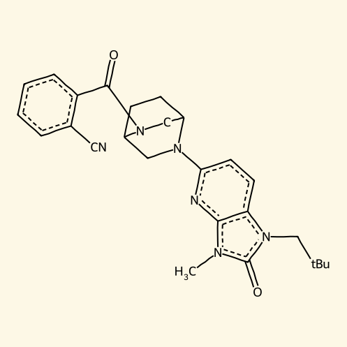 Cn1c(=O)n(CC(C)(C)C)c2ccc(N3CC4CCC3CN4C(=O)c3ccccc3C#N)nc21